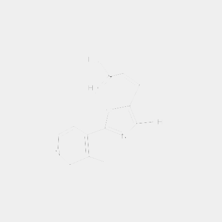 C=C(/C=C\c1oc(-c2ccncc2I)nc1C)C(F)(F)F